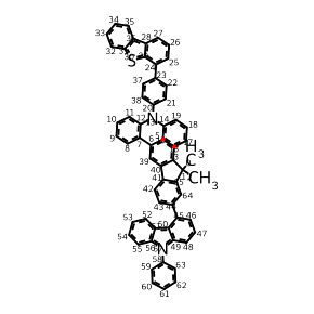 CC1(C)c2ccc(-c3ccccc3N(c3ccccc3)c3ccc(-c4cccc5c4sc4ccccc45)cc3)cc2-c2ccc(-c3cccc4c3c3ccccc3n4-c3ccccc3)cc21